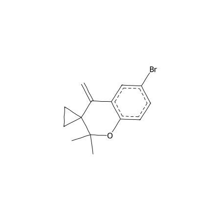 C=C1c2cc(Br)ccc2OC(C)(C)C12CC2